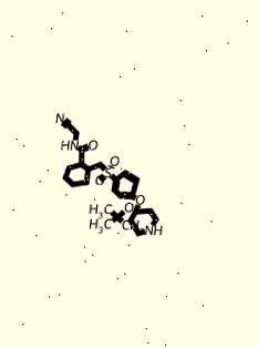 CC(C)(C)OC1(Oc2ccc(S(=O)(=O)CC3CCCCC3C(=O)NCC#N)cc2)CCNCC1